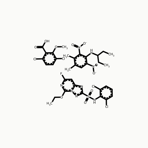 CCC(CC)Nc1c([N+](=O)[O-])cc(C)c(C)c1[N+](=O)[O-].CCOc1nc(F)cc2nc(S(=O)(=O)Nc3c(Cl)cccc3Cl)nn12.COc1c(Cl)ccc(Cl)c1C(=O)O